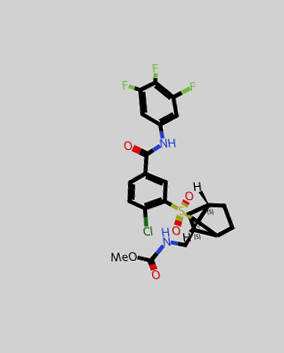 COC(=O)NC[C@H]1C[C@@H]2CCC1[C@@H]2S(=O)(=O)c1cc(C(=O)Nc2cc(F)c(F)c(F)c2)ccc1Cl